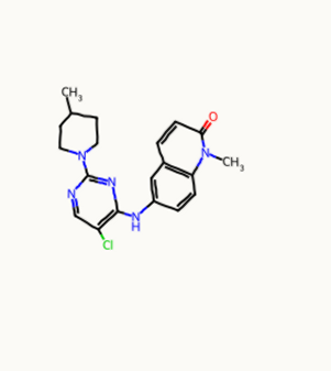 CC1CCN(c2ncc(Cl)c(Nc3ccc4c(ccc(=O)n4C)c3)n2)CC1